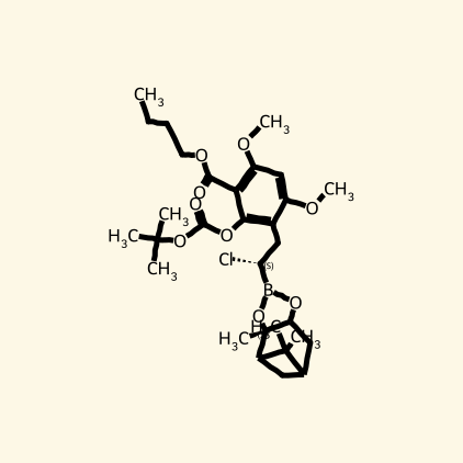 CCCCOC(=O)c1c(OC)cc(OC)c(C[C@@H](Cl)B2OC3CC4CC(C4(C)C)[C@]3(C)O2)c1OC(=O)OC(C)(C)C